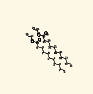 CCCCCCCCCCC(=O)OCC.CCCCCCCCCCC(=O)OCC